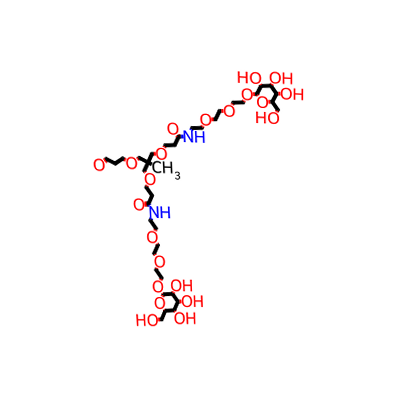 CC(COCCC=O)(COCCC(=O)NCCOCCOCCOC1OC(CO)C(O)C(O)C1O)COCCC(=O)NCCOCCOCCOC1OC(CO)C(O)C(O)C1O